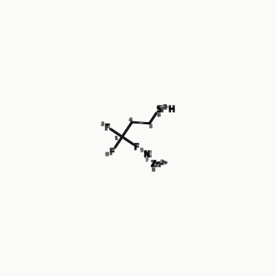 FC(F)(F)CC[SiH-2].[N].[Zn+2]